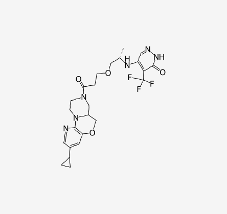 C[C@@H](COCCC(=O)N1CCN2c3ncc(C4CC4)cc3OCC2C1)Nc1cn[nH]c(=O)c1C(F)(F)F